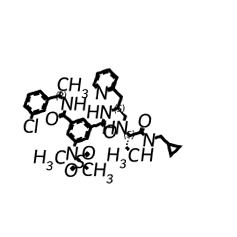 CC[C@H](NC[C@H](Cc1ccccn1)NC(=O)c1cc(C(=O)N[C@H](C)c2cccc(Cl)c2)cc(N(C)S(C)(=O)=O)c1)C(=O)NCC1CC1